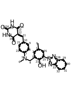 Cc1cc(CN(C)c2ccc(C=C3C(=O)NC(=O)NC3=O)cc2)c(O)c(-n2nc3ccccc3n2)c1